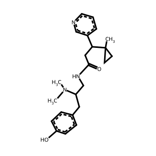 CN(C)C(CNC(=O)CC(c1cccnc1)C1(C)CC1)Cc1ccc(O)cc1